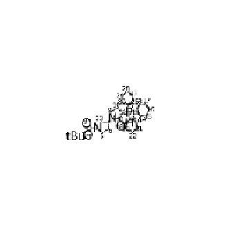 CC(C)(C)OC(=O)N1CCC(N2CCC([PH](c3ccccc3)(c3ccccc3)c3ccccc3)C2=O)C1